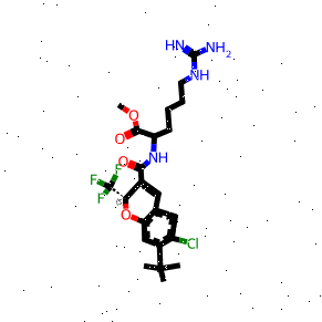 COC(=O)C(CCCCNC(=N)N)NC(=O)C1=Cc2cc(Cl)c(C(C)(C)C)cc2O[C@@H]1C(F)(F)F